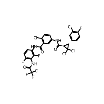 O=C(Nc1ccc(F)c(NC(=O)C(F)(F)Cl)c1F)c1cc(NC(=O)[C@H]2[C@H](c3ccc(F)c(Cl)c3)C2(Cl)Cl)ccc1Cl